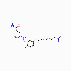 C=CC(CCC(=O)NC)NCc1cc(CCCCCCCNC)ccc1C